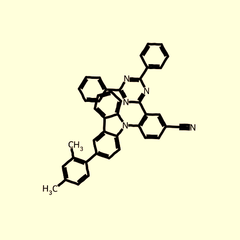 Cc1ccc(-c2ccc3c(c2)c2ccccc2n3-c2ccc(C#N)cc2-c2nc(-c3ccccc3)nc(-c3ccccc3)n2)c(C)c1